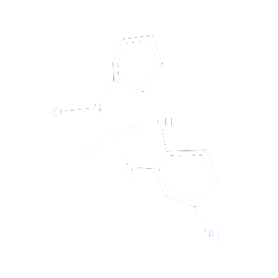 CCN(c1ccccc1)S(=O)(=O)Nc1cc(N)ccc1C